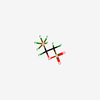 O=S1(=O)OC(F)(S(F)(F)(F)(F)F)C1(F)F